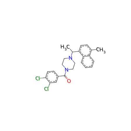 Cc1ccc(C(C)N2CCN(C(=O)c3ccc(Cl)c(Cl)c3)CC2)c2ccccc12